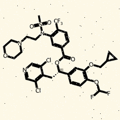 CS(=O)(=O)N(CCN1CCOCC1)c1cc(C(=O)O[C@@H](Cc2c(Cl)cncc2Cl)c2ccc(OC(F)F)c(OCC3CC3)c2)ccc1C(F)(F)F